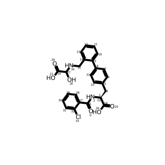 O=C(N[C@@H](Cc1ccc(-c2ccccc2CNC(O)C(=O)O)cc1)C(=O)O)c1ccccc1Cl